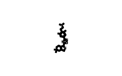 Cc1cc(-c2noc(C3=NCC4=C3CCC(C)(C)C4)n2)cc(C)c1CCN(C)C